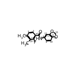 Cc1ccc(C(=O)Nc2ccc3c(c2)OCO3)c(F)c1C